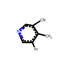 CC(=O)c1cncc(C#N)c1C